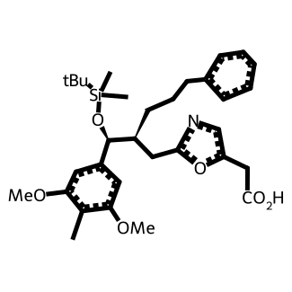 COc1cc([C@@H](O[Si](C)(C)C(C)(C)C)[C@@H](CCCc2ccccc2)Cc2ncc(CC(=O)O)o2)cc(OC)c1C